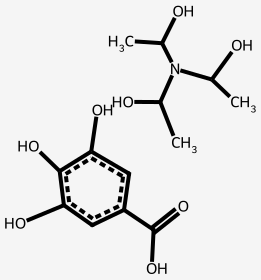 CC(O)N(C(C)O)C(C)O.O=C(O)c1cc(O)c(O)c(O)c1